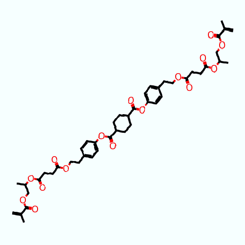 C=C(C)C(=O)OCC(C)OC(=O)CCC(=O)OCCc1ccc(OC(=O)C2CCC(C(=O)Oc3ccc(CCOC(=O)CCC(=O)OC(C)COC(=O)C(=C)C)cc3)CC2)cc1